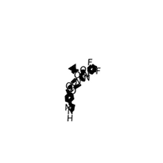 CC1(COc2c(N3CCN(S(=O)(=O)Cc4ccc(-c5cc[nH]n5)cc4)CC3)cnn(-c3cc(F)cc(F)c3)c2=O)CC1